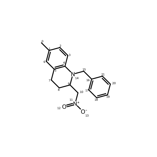 Cc1ccc2c(c1)CCC(C[N+](=O)[O-])N2Cc1ccccc1